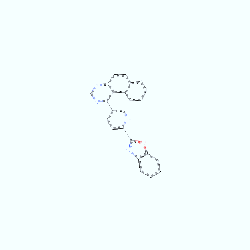 c1ccc2c(c1)ccc1ncnc(-c3ccc(-c4nc5ccccc5o4)nc3)c12